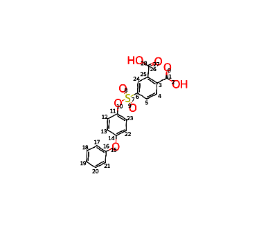 O=C(O)c1ccc(S(=O)(=O)Oc2ccc(Oc3ccccc3)cc2)cc1C(=O)O